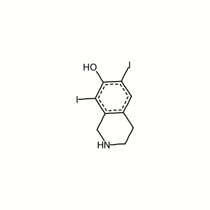 Oc1c(I)cc2c(c1I)CNCC2